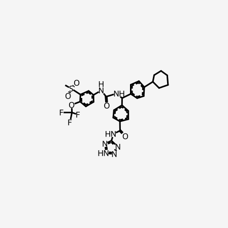 CS(=O)(=O)c1cc(NC(=O)NC(c2ccc(C(=O)Nc3nn[nH]n3)cc2)c2ccc(C3CCCCC3)cc2)ccc1OC(F)(F)F